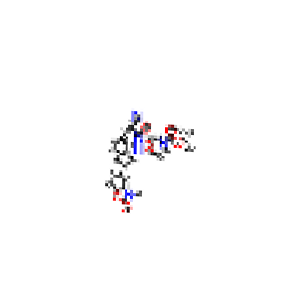 Cn1c(=O)oc2ccc(-c3ccc4cc(CC(C#N)NC(=O)[C@@H]5CN(C(=O)OC(C)(C)C)CCCO5)ccc4c3)cc21